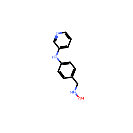 ONCc1ccc(Nc2cccnc2)cc1